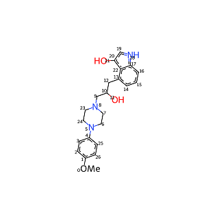 COc1ccc(N2CCN(CC(O)Cc3cccc4[nH]cc(O)c34)CC2)cc1